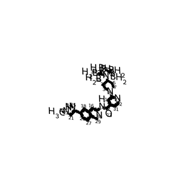 BC(B)(B)N(C1CCN(c2cc(C(=O)Nc3cc4cc(-c5cn(C)nn5)ccc4cn3)ccn2)CC1)C(B)(B)B